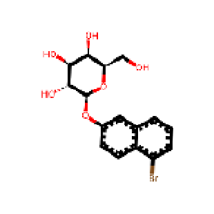 OC[C@H]1O[C@@H](Oc2ccc3c(Br)cccc3c2)[C@H](O)[C@@H](O)[C@H]1O